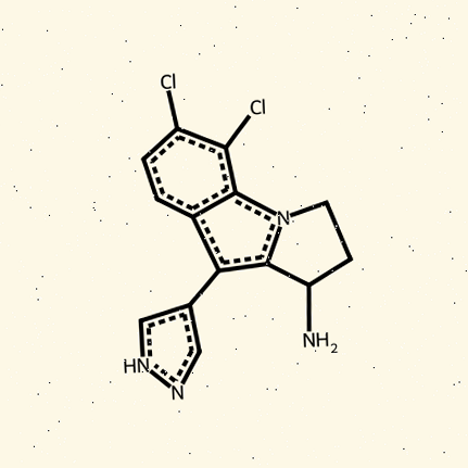 NC1CCn2c1c(-c1cn[nH]c1)c1ccc(Cl)c(Cl)c12